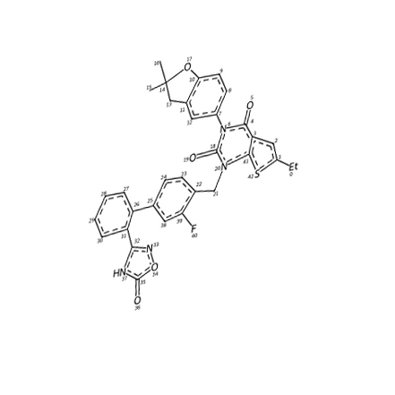 CCc1cc2c(=O)n(-c3ccc4c(c3)CC(C)(C)O4)c(=O)n(Cc3ccc(-c4ccccc4-c4noc(=O)[nH]4)cc3F)c2s1